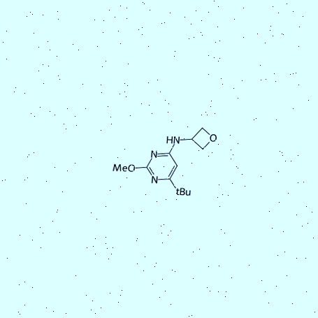 COc1nc(NC2COC2)cc(C(C)(C)C)n1